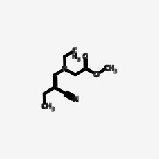 CCC(C#N)=CN(CC)CC(=O)OC